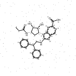 CCC(=O)N[C@H]1C[C@@H](n2c(NCC(c3ccccc3)c3ccccc3)nc3cnc(C(=O)O)nc32)[C@H](O)[C@@H]1O